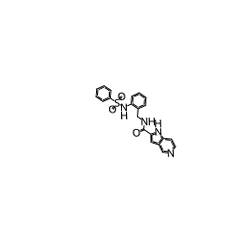 O=C(NCc1ccccc1NS(=O)(=O)c1ccccc1)c1cc2cnccc2[nH]1